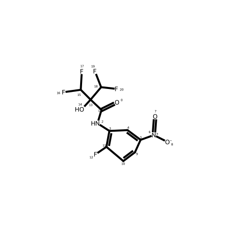 O=C(Nc1cc([N+](=O)[O-])ccc1F)C(O)(C(F)F)C(F)F